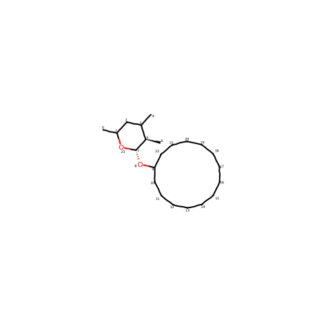 CC1CC(C)[C@@H](C)[C@H](OC2CCCCCCCCCCCCC2)O1